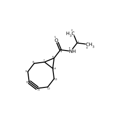 CC(C)NC(=O)C1C2CCC#CCCC21